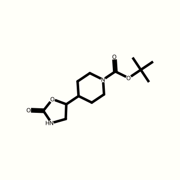 CC(C)(C)OC(=O)N1CCC(C2CNC(=O)O2)CC1